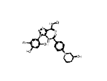 CCNC(=O)c1nnn(-c2cc(C(C)C)c(O)cc2O)c1NC(=O)c1ccc(N2CCCC(O)C2)cc1